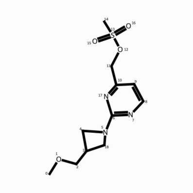 COCC1CN(c2nccc(COS(C)(=O)=O)n2)C1